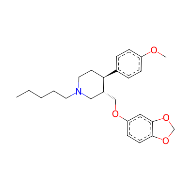 CCCCCN1CC[C@@H](c2ccc(OC)cc2)[C@H](COc2ccc3c(c2)OCO3)C1